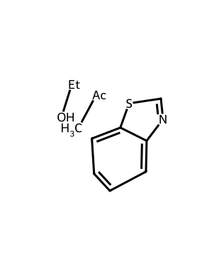 CC(C)=O.CCO.c1ccc2scnc2c1